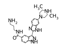 C[C@@H]1CN(c2ccc3nc(-c4n[nH]c5ccc(C(=O)NCCCN)cc45)[nH]c3c2)C[C@H](C)N1